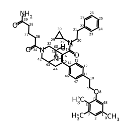 Cc1cc(C)c(C)c(OCCc2ccc(C3=C(C(=O)N(CCc4ccccc4)C4CC4)[C@H]4CN(C(=O)CCCC(N)=O)CC(C3)N4)cc2)c1